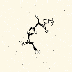 C#CCN(C)c1nc(C(=O)N(C)C)cs1